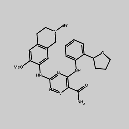 COc1cc2c(cc1Nc1nnc(C(N)=O)c(Nc3ccccc3C3CCCO3)n1)CN(C(C)C)CC2